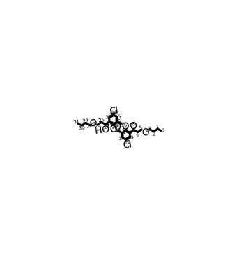 CCCCOCCC(=O)c1cc(Cl)cc2c1OC1OC2Oc2c(C(O)CCOCCCC)cc(Cl)cc21